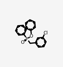 O=P(Cc1cccc(Cl)c1)(Oc1ccccc1)c1ccccc1